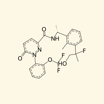 Cc1c([C@@H](C)NC(=O)c2ccc(=O)n(-c3ccccc3OC(F)F)n2)cccc1C(C)(F)CO